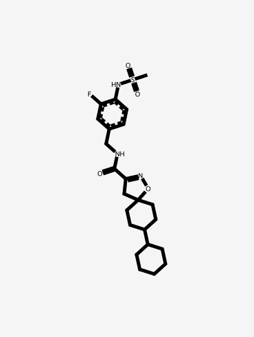 CS(=O)(=O)Nc1ccc(CNC(=O)C2=NOC3(CCC(C4CCCCC4)CC3)C2)cc1F